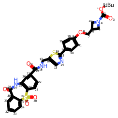 CC(C)(C)OC(=O)N1CC(COc2ccc(-c3ncc(CNC(=O)c4ccc5c(c4)NC(=O)c4ccccc4S5(=O)=O)s3)cc2)C1